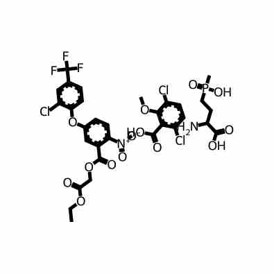 CCOC(=O)COC(=O)c1cc(Oc2ccc(C(F)(F)F)cc2Cl)ccc1[N+](=O)[O-].COc1c(Cl)ccc(Cl)c1C(=O)O.CP(=O)(O)CCC(N)C(=O)O